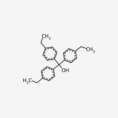 CCc1ccc(C(O)(c2ccc(CC)cc2)c2ccc(CC)cc2)cc1